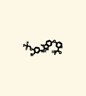 CNC(=O)c1cc(Oc2ccc3c(c2)nc(Nc2ccc(OCC(F)(F)F)c(Br)c2)n3C)ccn1